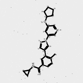 Cc1ccc(C(=O)NC2CC2)cc1-c1cnn(-c2cncc(OC3CCCC3)c2)c1